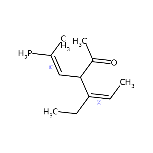 C/C=C(/CC)C(/C=C(\C)P)C(C)=O